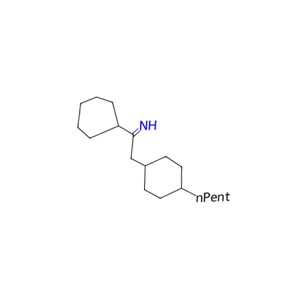 CCCCCC1CCC(CC(=N)C2CCCCC2)CC1